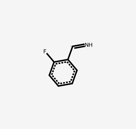 N=[C]c1ccccc1F